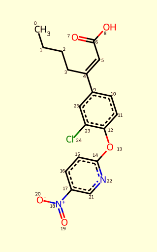 CCCC/C(=C\C(=O)O)c1ccc(Oc2ccc([N+](=O)[O-])cn2)c(Cl)c1